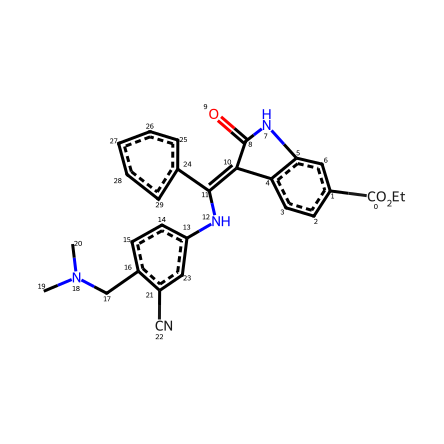 CCOC(=O)c1ccc2c(c1)NC(=O)C2=C(Nc1ccc(CN(C)C)c(C#N)c1)c1ccccc1